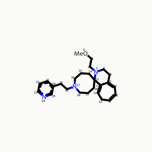 COCCN1CCC2=CC=CCC=C2C12CCCN(CCc1cccnc1)CCC2